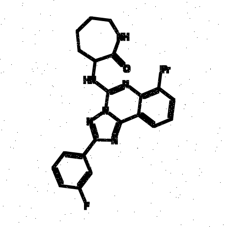 CC(C)c1cccc2c1nc(NC1CCCCNC1=O)n1nc(-c3cccc(F)c3)nc21